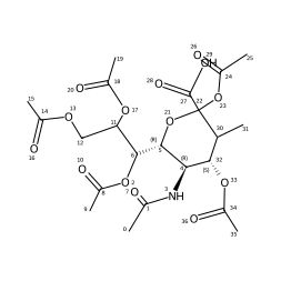 CC(=O)N[C@H]1[C@H](C(OC(C)=O)C(COC(C)=O)OC(C)=O)OC(OC(C)=O)(C(=O)O)C(C)[C@@H]1OC(C)=O